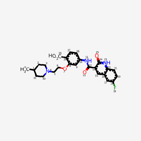 CC1CCN(CCOc2cc(NC(=O)c3cc4cc(F)ccc4[nH]c3=O)ccc2C(=O)O)CC1